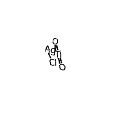 [Cl][Ag].[O]=[Ti]=[O]